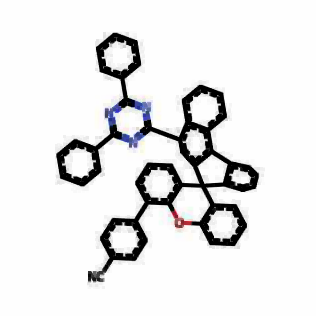 N#Cc1ccc(-c2cccc3c2Oc2ccccc2C32c3ccccc3-c3c2cc(-c2nc(-c4ccccc4)nc(-c4ccccc4)n2)c2ccccc32)cc1